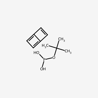 CC(C)(C)OP(O)O.c1cc2ccc1-2